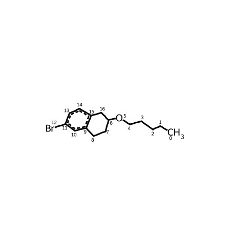 CCCCCOC1CCc2cc(Br)ccc2C1